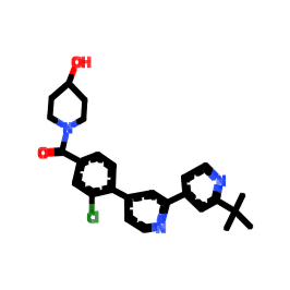 CC(C)(C)c1cc(-c2cc(-c3ccc(C(=O)N4CCC(O)CC4)cc3Cl)ccn2)ccn1